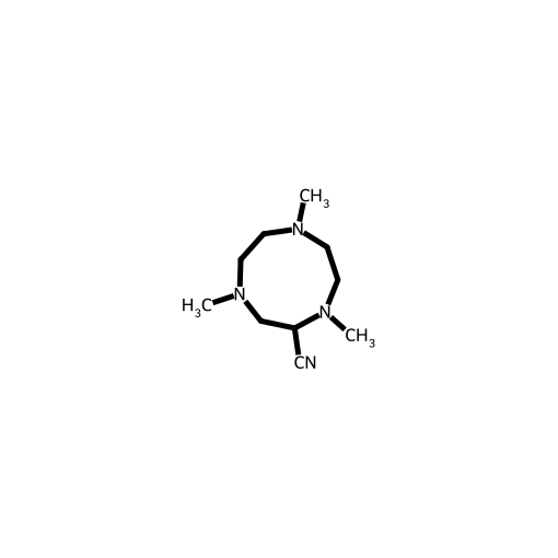 CN1CCN(C)CC(C#N)N(C)CC1